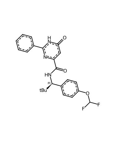 CC(C)(C)[C@@H](NC(=O)c1cc(=O)[nH]c(-c2ccccc2)n1)c1ccc(OC(F)F)cc1